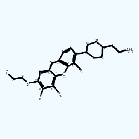 CCCC1CCC(c2ccc3c(c2F)Oc2c(cc(OCCF)c(F)c2F)C3)CC1